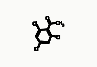 CC(=O)c1c(Cl)cc(Cl)cc1Cl